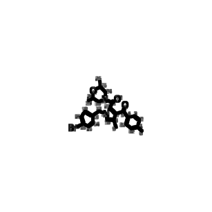 Cc1ccc(C(=O)c2c(C)cn(Cc3ccc(Br)cc3)c2C(=O)N2CC(C)OC(C)C2)cc1